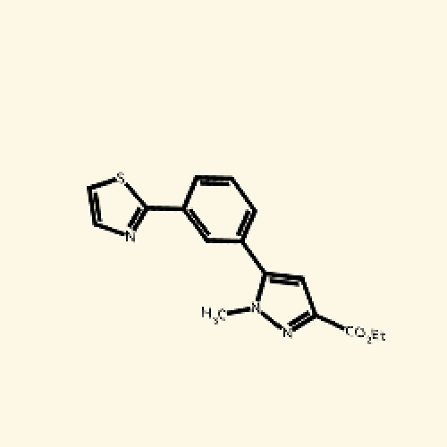 CCOC(=O)c1cc(-c2cccc(-c3nccs3)c2)n(C)n1